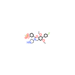 CCOc1cc(CN(C(=O)c2cccc(OS(C)(=O)=O)c2)C2CCNCC2)cc(OCC)c1-c1ccc(F)cc1